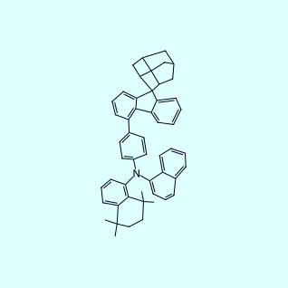 CC1(C)CCC(C)(C)c2c(N(c3ccc(-c4cccc5c4-c4ccccc4C54C5CC6CC7CC4C75C6)cc3)c3cccc4ccccc34)cccc21